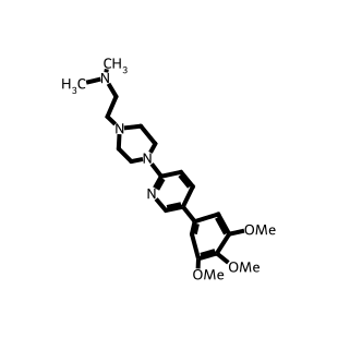 COc1cc(-c2ccc(N3CCN(CCN(C)C)CC3)nc2)cc(OC)c1OC